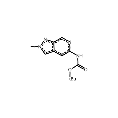 Cn1cc2cc(NC(=O)OC(C)(C)C)ncc2n1